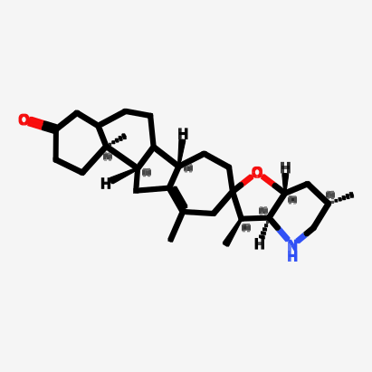 CC1=C2C[C@H]3C(CCC4CC(=O)CC[C@@]43C)[C@@H]2CCC2(C1)O[C@@H]1C[C@H](C)CN[C@H]1[C@H]2C